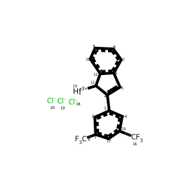 FC(F)(F)c1cc(C2=Cc3ccccc3[CH]2[Hf+3])cc(C(F)(F)F)c1.[Cl-].[Cl-].[Cl-]